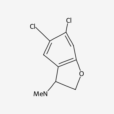 CNC1COc2cc(Cl)c(Cl)cc21